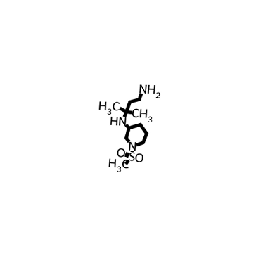 CC(C)(CCN)NC1CCCN(S(C)(=O)=O)C1